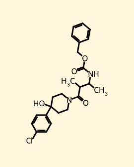 CC(NC(=O)OCc1ccccc1)C(C)C(=O)N1CCC(O)(c2ccc(Cl)cc2)CC1